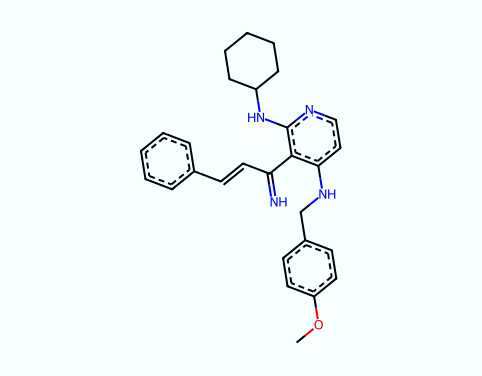 COc1ccc(CNc2ccnc(NC3CCCCC3)c2C(=N)/C=C/c2ccccc2)cc1